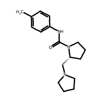 Cc1ccc(NC(=O)N2CCC[C@@H]2CN2CCCC2)cc1